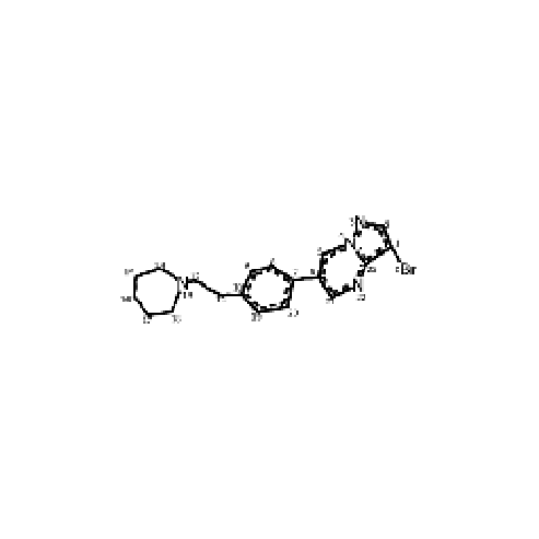 Brc1cnn2cc(-c3ccc(CCN4CCCCC4)cc3)cnc12